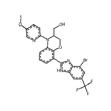 COc1ccc(N2c3cccc(-c4nc5c(Br)cc(C(F)(F)F)cc5[nH]4)c3OCC2CO)nc1